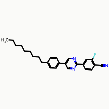 CCCCCCCCCc1ccc(-c2cnc(-c3ccc(C#N)c(F)c3)nc2)cc1